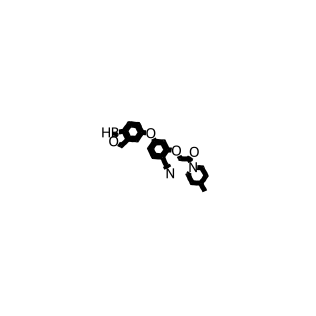 CC1CCN(C(=O)COc2cc(Oc3ccc4c(c3)COB4)ccc2C#N)CC1